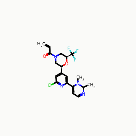 C=CC(=O)N1C[C@@H](C(F)(F)F)O[C@@H](c2cc(Cl)nc(C3=CC=NC(C)N3C)c2)C1